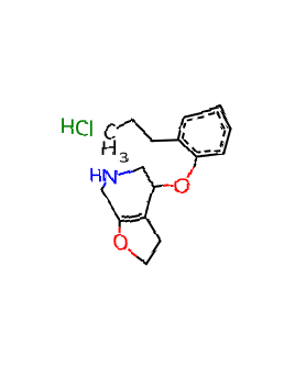 CCCc1ccccc1OC1CNCC2=C1CCO2.Cl